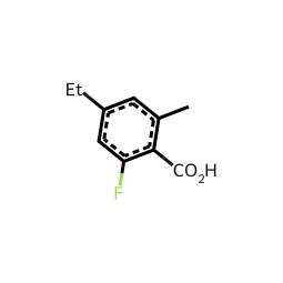 CCc1cc(C)c(C(=O)O)c(F)c1